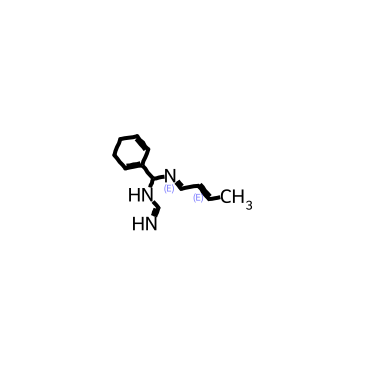 C/C=C/C=N/C(NC=N)C1=CCCC=C1